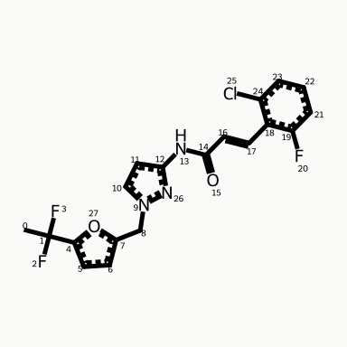 CC(F)(F)c1ccc(Cn2ccc(NC(=O)C=Cc3c(F)cccc3Cl)n2)o1